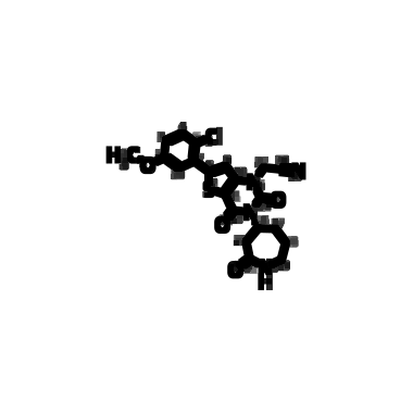 COc1ccc(Cl)c(-c2cc3c(s2)c(=O)n([C@@H]2CCCNC(=O)C2)c(=O)n3CC#N)c1